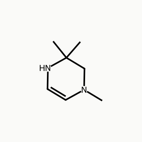 CN1C=CNC(C)(C)C1